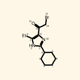 CCc1[nH]c(C2CCCCC2)nc1C(=O)CBr